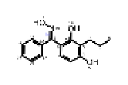 CCCc1c(O)ccc(/C(=N/O)c2ccccc2)c1O